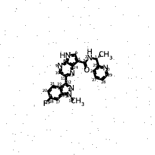 C[C@@H](NC(=O)c1c[nH]c2ncc(-c3nn(C)c4cc(F)ccc34)nc12)c1ccccn1